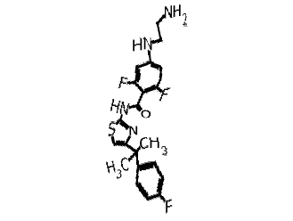 CC(C)(c1ccc(F)cc1)c1csc(NC(=O)c2c(F)cc(NCCN)cc2F)n1